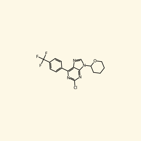 FC(F)(F)c1ccc(-c2nc(Cl)nc3c2ncn3C2CCCCO2)cc1